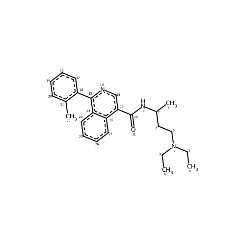 CCN(CC)CCC(C)NC(=O)c1cnc(-c2ccccc2C)c2ccccc12